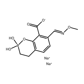 CON=Cc1ccc2c(c1C(=O)[O-])O[B-](O)(O)CC2.[Na+].[Na+]